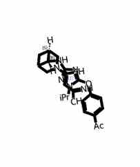 CC(=N)/C=C(\S)N1CC2C[C@@H](C1)[C@@H]2Nc1nc(Oc2ccc(C(C)=O)cc2)n(C(C)C)n1